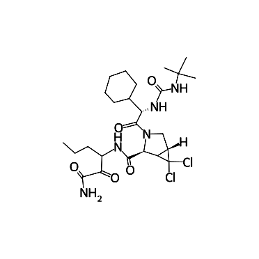 CCCC(NC(=O)[C@@H]1C2[C@H](CN1C(=O)[C@@H](NC(=O)NC(C)(C)C)C1CCCCC1)C2(Cl)Cl)C(=O)C(N)=O